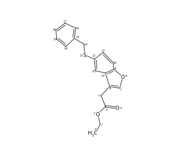 CCOC(=O)Cc1coc2ccc(SCc3ccccc3)cc12